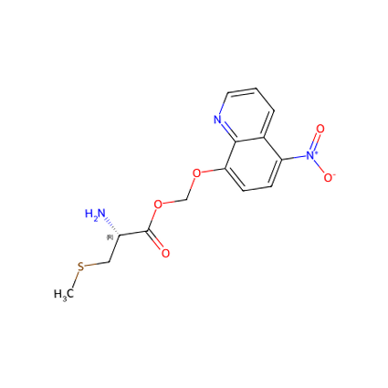 CSC[C@H](N)C(=O)OCOc1ccc([N+](=O)[O-])c2cccnc12